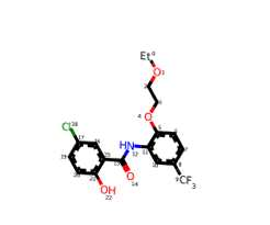 CCOCCOc1ccc(C(F)(F)F)cc1NC(=O)c1cc(Cl)ccc1O